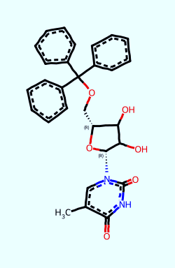 Cc1cn([C@@H]2O[C@H](COC(c3ccccc3)(c3ccccc3)c3ccccc3)C(O)C2O)c(=O)[nH]c1=O